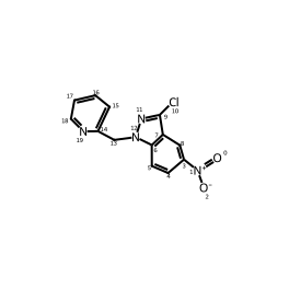 O=[N+]([O-])c1ccc2c(c1)c(Cl)nn2Cc1ccccn1